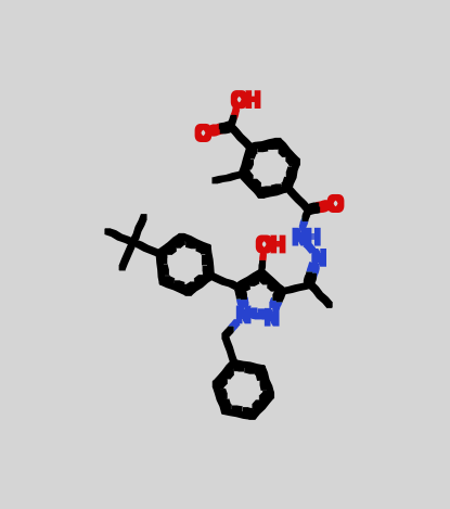 C/C(=N/NC(=O)c1ccc(C(=O)O)c(C)c1)c1nn(Cc2ccccc2)c(-c2ccc(C(C)(C)C)cc2)c1O